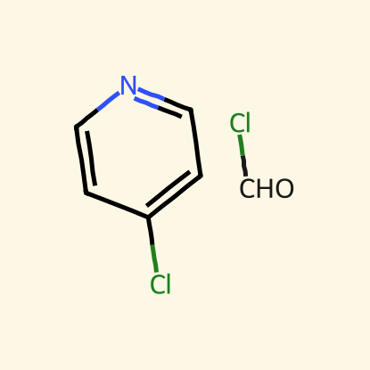 Clc1ccncc1.O=CCl